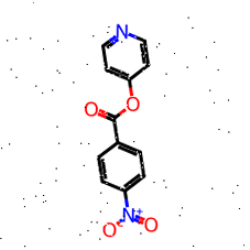 O=C(Oc1ccncc1)c1ccc([N+](=O)[O-])cc1